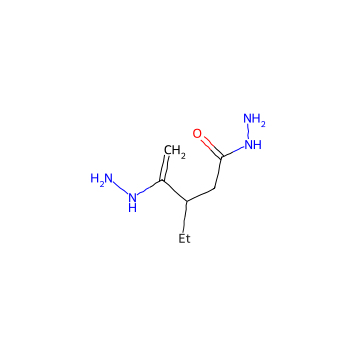 C=C(NN)C(CC)CC(=O)NN